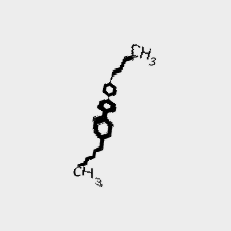 CCCCCCCC1CC=C(c2ccc([C@H]3CC[C@H](CCCCC)CC3)cc2)CC1